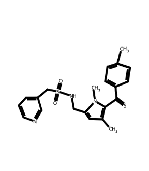 Cc1ccc(C(=S)c2c(C)cc(CNS(=O)(=O)Cc3cccnc3)n2C)cc1